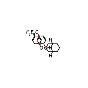 FC(F)(F)c1ccc(O[C@H]2C[C@H]3CCC[C@@H](C2)N3Oc2ccc(C(F)(F)F)cn2)cc1